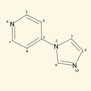 [c]1cn(-c2ccncc2)cn1